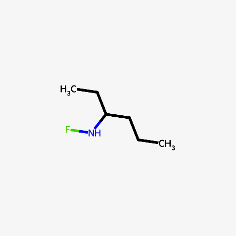 CCCC(CC)NF